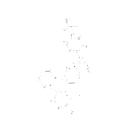 Cc1cc(-c2ncccc2-c2ccc3ncc(-c4ccc(S(N)(=O)=O)cc4)n3c2)ccc1F